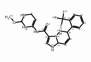 COC1NCC=C(NC(=O)C2=CNC3C=CC(c4ccccc4C(F)(F)F)NN23)N1